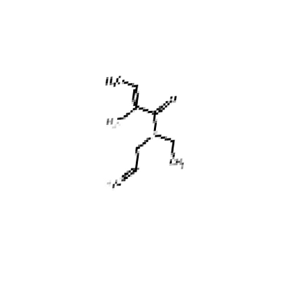 C=CCN(CC)C(=O)/C(C)=C/C